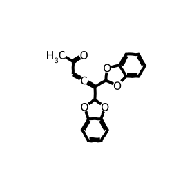 CC(=O)C=C=C(C1Oc2ccccc2O1)C1Oc2ccccc2O1